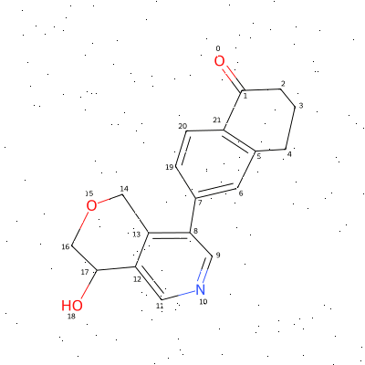 O=C1CCCc2cc(-c3cncc4c3COCC4O)ccc21